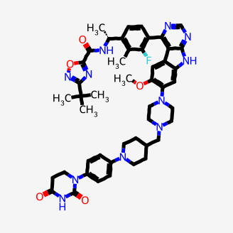 COc1cc2c(cc1N1CCN(CC3CCN(c4ccc(N5CCC(=O)NC5=O)cc4)CC3)CC1)[nH]c1ncnc(-c3ccc([C@@H](C)NC(=O)c4nc(C(C)(C)C)no4)c(C)c3F)c12